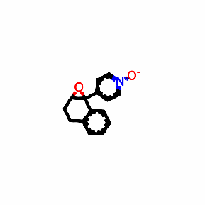 [O-][n+]1ccc(C23OC2CCc2ccccc23)cc1